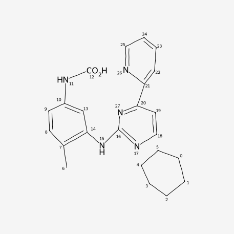 C1CCCCC1.Cc1ccc(NC(=O)O)cc1Nc1nccc(-c2ccccn2)n1